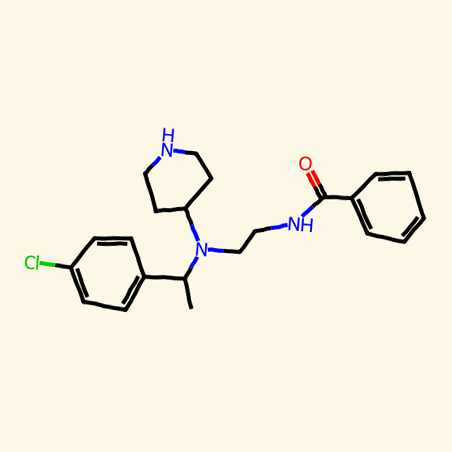 CC(c1ccc(Cl)cc1)N(CCNC(=O)c1ccccc1)C1CCNCC1